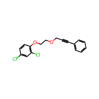 Clc1ccc(OCCOCC#Cc2ccccc2)c(Cl)c1